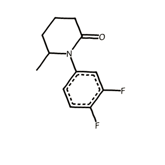 CC1CCCC(=O)N1c1ccc(F)c(F)c1